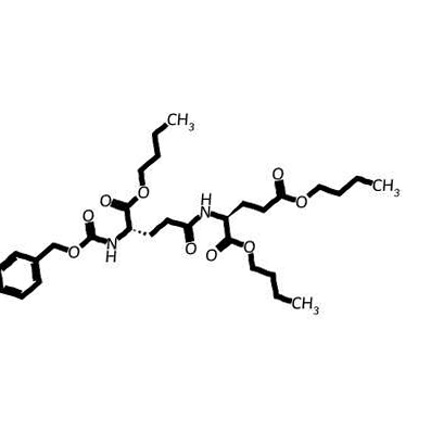 CCCCOC(=O)CC[C@H](NC(=O)CC[C@H](NC(=O)OCc1ccccc1)C(=O)OCCCC)C(=O)OCCCC